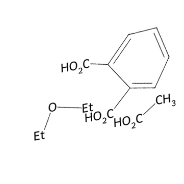 CC(=O)O.CCOCC.O=C(O)c1ccccc1C(=O)O